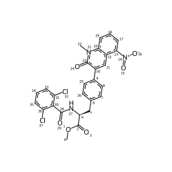 COC(=O)[C@H](Cc1ccc(-c2cc3c([N+](=O)[O-])cccc3n(C)c2=O)cc1)NC(=O)c1c(Cl)cccc1Cl